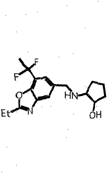 CCc1nc2cc(CNC3CCCC3O)cc(C(C)(F)F)c2o1